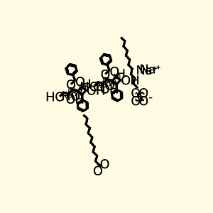 CCCCCCCCCCCC(=O)[O-].CCCCCCCCCCCCOS(=O)(=O)[O-].OC[C@@H](O)[C@H]1OC(c2ccccc2)O[C@H]2C(O)C(c3ccccc3)[C@]12O.OC[C@@H](O)[C@H]1OC(c2ccccc2)O[C@H]2C(O)C(c3ccccc3)[C@]12O.[Na+].[Na+]